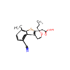 CCC[C@@]1(CC(=O)O)OCCc2c1sc1c(C)ccc(C#N)c21